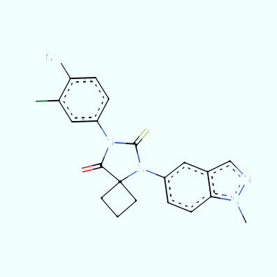 Cn1ncc2cc(N3C(=S)N(c4ccc(C#N)c(Cl)c4)C(=O)C34CCC4)ccc21